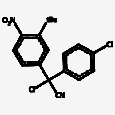 CC(C)(C)c1cc(C(Cl)(C#N)c2ccc(Cl)cc2)ccc1[N+](=O)[O-]